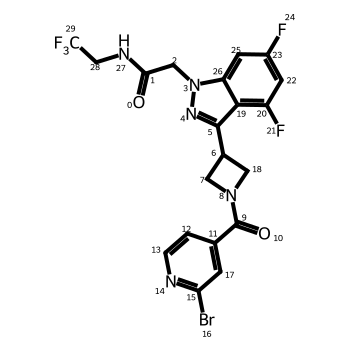 O=C(Cn1nc(C2CN(C(=O)c3ccnc(Br)c3)C2)c2c(F)cc(F)cc21)NCC(F)(F)F